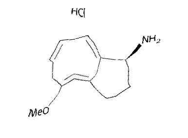 COc1cccc2c1CC[C@@H]2N.Cl